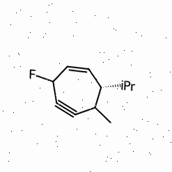 CC(C)[C@H]1C=CC(F)C#CC1C